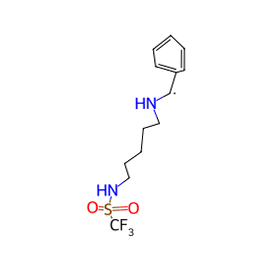 O=S(=O)(NCCCCCN[CH]c1ccccc1)C(F)(F)F